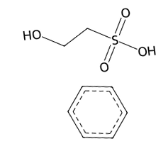 O=S(=O)(O)CCO.c1ccccc1